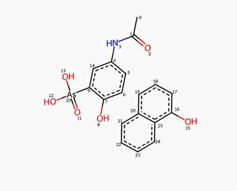 CC(=O)Nc1ccc(O)c([As](=O)(O)O)c1.Oc1cccc2ccccc12